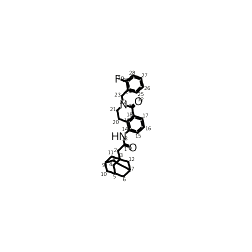 O=C(CC12CC3CC(CC(C3)C1)C2)Nc1cccc2c1CCN(Cc1ccccc1F)C2=O